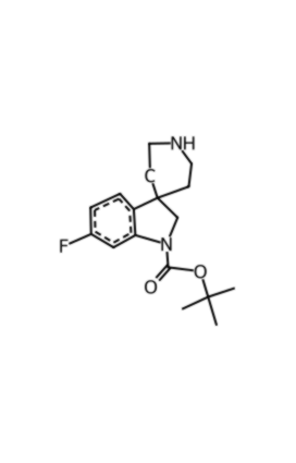 CC(C)(C)OC(=O)N1CC2(CCNCC2)c2ccc(F)cc21